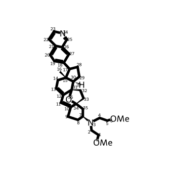 COCCN(CCOC)[C@H]1CCC2=CC3=CC[C@]4(C)C(c5ccc6ccncc6c5)CC[C@H]4[C@@]34CC[C@]2(C1)O4